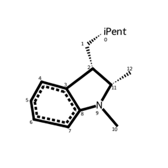 CCC[C@@H](C)C[C@H]1c2ccccc2N(C)[C@H]1C